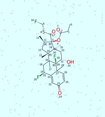 CCC(=O)O[C@]1(C(=O)SCF)[C@H](C)C[C@@]2(C)C3(C)C[C@H](F)C4=CC(=O)C=CC4(C)[C@@]3(F)[C@@H](O)C[C@]12C